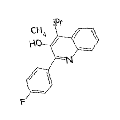 C.CC(C)c1c(O)c(-c2ccc(F)cc2)nc2ccccc12